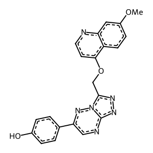 COc1ccc2c(OCc3nnc4ncc(-c5ccc(O)cc5)nn34)ccnc2c1